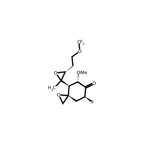 CO[C@@H]1C(=O)[C@@H](F)C[C@]2(CO2)[C@H]1C1(C)O[C@@H]1CCOC(F)(F)F